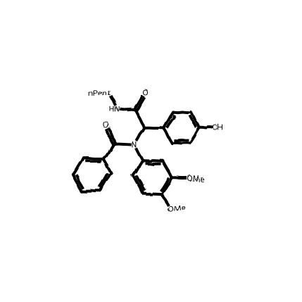 CCCCCNC(=O)C(c1ccc(O)cc1)N(C(=O)c1ccccc1)c1ccc(OC)c(OC)c1